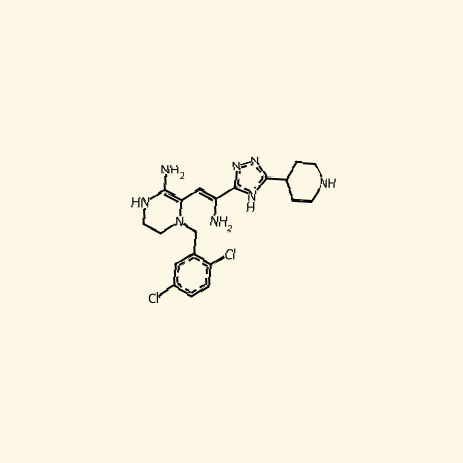 NC1=C(/C=C(\N)c2nnc(C3CCNCC3)[nH]2)N(Cc2cc(Cl)ccc2Cl)CCN1